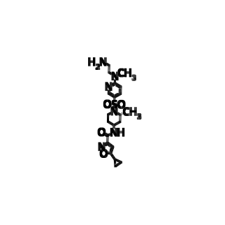 C[C@@H]1C[C@@H](NC(=O)c2cc(C3CC3)on2)CCN1S(=O)(=O)c1ccc(N(C)CCN)nc1